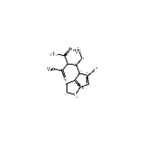 COC(=O)C(C(=O)OC)C(C[N+](=O)[O-])C1C(F)=CC2=C1CCO2